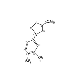 COC1CCN(c2ccc(C(F)(F)F)c(O)c2)C1